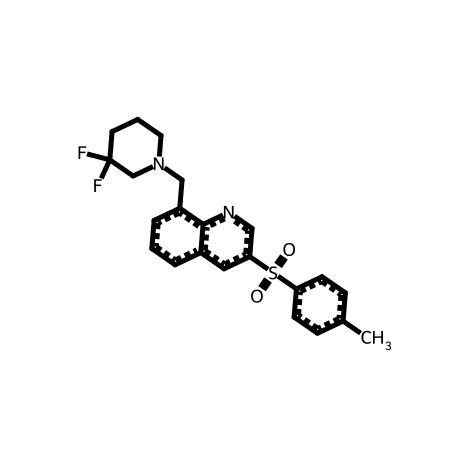 Cc1ccc(S(=O)(=O)c2cnc3c(CN4CCCC(F)(F)C4)cccc3c2)cc1